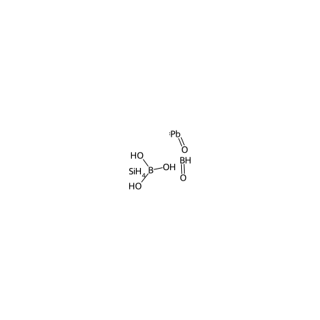 B=O.OB(O)O.[O]=[Pb].[SiH4]